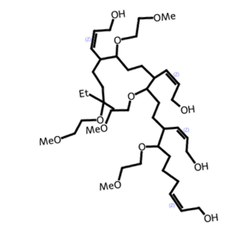 CCC(C)(CCC(/C=C\CO)C(CCC(/C=C\CO)C(CCC(/C=C\CO)C(CCC/C=C\CO)OCCOC)OCCOC)OCCOC)OCCOC